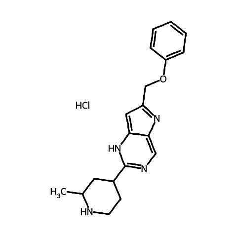 CC1CC(c2ncc3nc(COc4ccccc4)cc-3[nH]2)CCN1.Cl